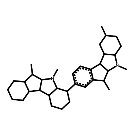 CC1CCC2C(C1)C1c3ccc(C4CCCC5C6C7CCCCC7C(C)C6N(C)C45)cc3C(C)C1N2C